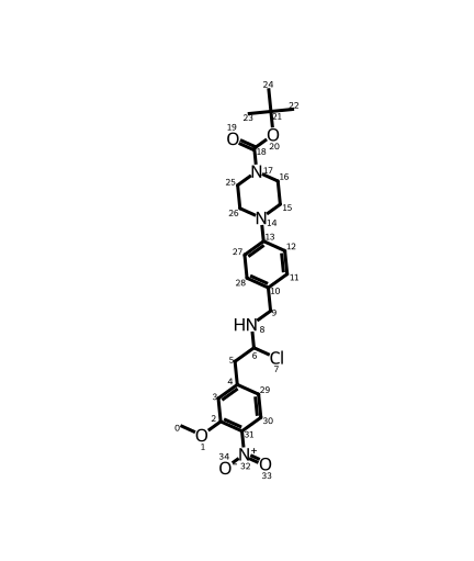 COc1cc(CC(Cl)NCc2ccc(N3CCN(C(=O)OC(C)(C)C)CC3)cc2)ccc1[N+](=O)[O-]